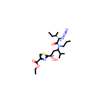 CCCN(C(=O)[C@@H](N=[N+]=[N-])C(C)CC)C(C[C@@H](O)c1nc(C(=O)OCC)cs1)C(C)C